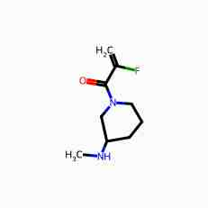 C=C(F)C(=O)N1CCCC(NC)C1